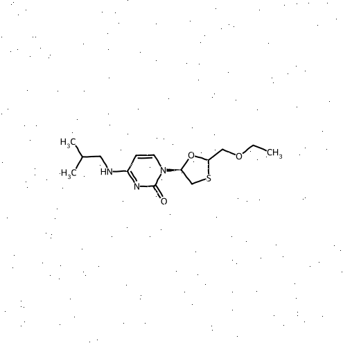 CCOCC1O[C@H](n2ccc(NCC(C)C)nc2=O)CS1